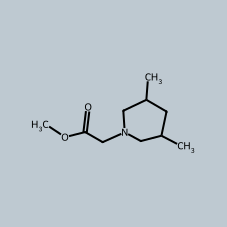 COC(=O)CN1CC(C)CC(C)C1